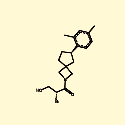 CC[C@H](CO)C(=O)N1CC2(CC[C@@H](c3ccc(C)cc3C)C2)C1